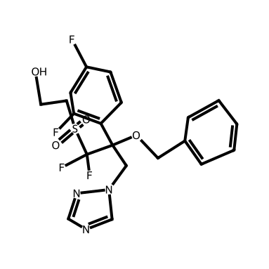 O=S(=O)(CCO)C(F)(F)C(Cn1cncn1)(OCc1ccccc1)c1ccc(F)cc1F